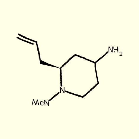 C=CC[C@H]1CC(N)CCN1NC